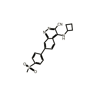 CS(=O)(=O)c1ccc(-c2ccc3c(NC4CCC4)c(C#N)nnc3c2)cc1